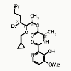 CC[C@@H](CCC(C)C)[C@H](OCC1CC1)[C@H](C)OC(=O)[C@H](C)NC(=O)c1nccc(OC)c1O